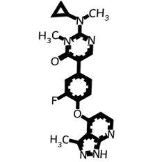 Cc1n[nH]c2nccc(Oc3ccc(-c4cnc(N(C)C5CC5)n(C)c4=O)cc3F)c12